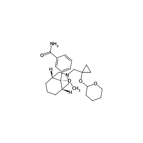 CO[C@@]1(c2cccc(C(N)=O)c2)[C@@H]2CCC[C@H]1CN(CC1(OC3CCCCO3)CC1)C2